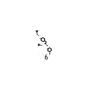 COc1cc(C(=O)N2C[C@@]3(CN)CCC23)cc2nc(-c3cc4ccc(NCCC5CC5)cc4n3CC3CC3)n(C)c12